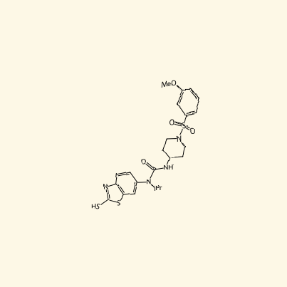 COc1cccc(S(=O)(=O)N2CCC(NC(=O)N(c3ccc4nc(S)sc4c3)C(C)C)CC2)c1